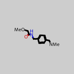 CNCc1ccc(CNC(=O)COC)cc1